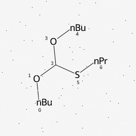 CCCCOC(OCCCC)SCCC